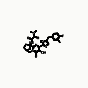 Cc1cc(Cc2cnc(-c3nc4n(c(=O)c3O)CC3CCC4(NC(=O)C(=O)N(C)C)C3)[nH]2)ccc1F